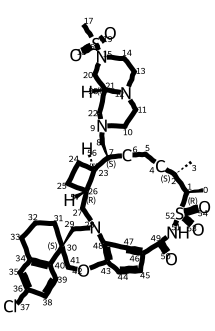 C[C@@H]1[C@@H](C)CCC[C@H](CN2CCN3CCN(S(C)(=O)=O)C[C@H]3C2)[C@@H]2CC[C@H]2CN2C[C@@]3(CCCc4cc(Cl)ccc43)COc3ccc(cc32)C(=O)NS1(=O)=O